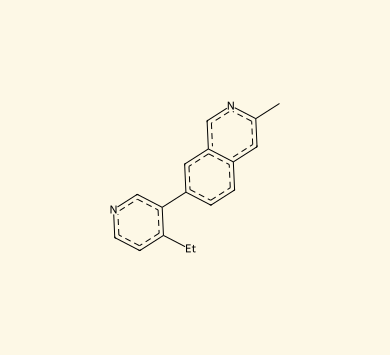 CCc1ccncc1-c1ccc2cc(C)ncc2c1